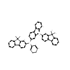 CC1(C)c2ccccc2-c2ccc(N(C3=CCCC=C3)c3ccc4c5ccccc5n(-c5ccc6c(c5)C(C)(C)c5ccccc5-6)c4c3)cc21